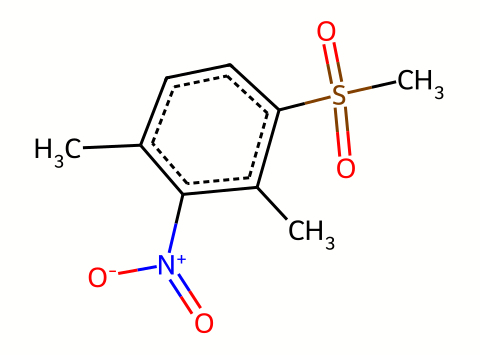 Cc1ccc(S(C)(=O)=O)c(C)c1[N+](=O)[O-]